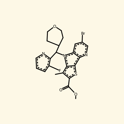 COC(=O)c1sc2c3ncc(Br)cc3n(C(c3ncccc3F)C3CCOCC3)c2c1C